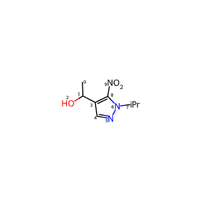 CC(O)c1cnn(C(C)C)c1[N+](=O)[O-]